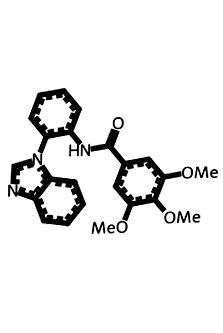 COc1cc(C(=O)Nc2ccccc2-n2cnc3ccccc32)cc(OC)c1OC